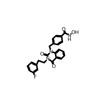 O=C(NO)c1ccc(Cn2c(=O)n(CCc3cccc(F)c3)c(=O)c3ccccc32)cc1